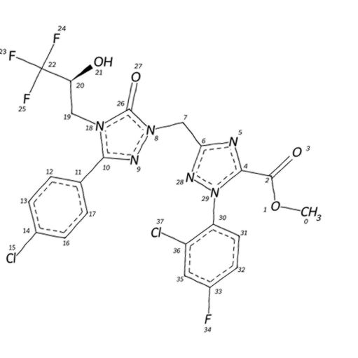 COC(=O)c1nc(Cn2nc(-c3ccc(Cl)cc3)n(C[C@H](O)C(F)(F)F)c2=O)nn1-c1ccc(F)cc1Cl